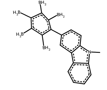 Bc1c(B)c(B)c(-c2ccc3c(c2)c2ccccc2n3C)c(B)c1B